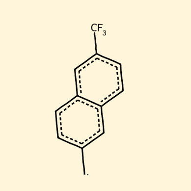 [CH2]c1ccc2cc(C(F)(F)F)ccc2c1